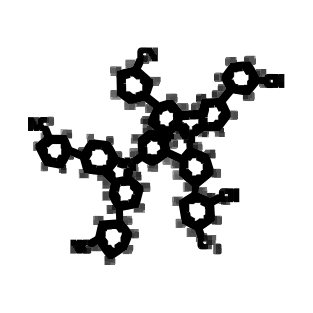 N#Cc1cccc(-c2ccc3c(c2)c2cc(-c4cccc(C#N)c4)ccc2n3-c2ccc(C#N)c(-c3cc(-c4ccc(C(F)(F)F)cc4C#N)ccc3-n3c4ccc(-c5cccc(C#N)c5)cc4c4cc(-c5cccc(C#N)c5)ccc43)c2)c1